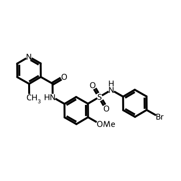 COc1ccc(NC(=O)c2cnccc2C)cc1S(=O)(=O)Nc1ccc(Br)cc1